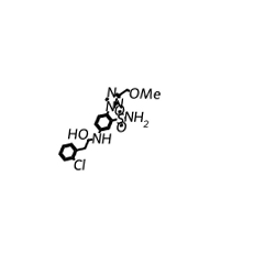 COCc1ncn(-c2ccc(NC(O)Cc3ccccc3Cl)cc2S(N)(=O)=O)n1